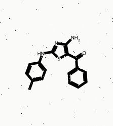 Cc1ccc(Nc2nc(N)c(C(=O)c3ccccc3)s2)cc1